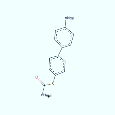 CCCCCCCCCc1ccc(-c2ccc(SC(=O)CCCCCCC)cc2)cc1